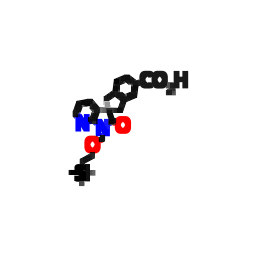 C[Si](C)(C)CCOCN1C(=O)[C@@]2(Cc3ccc(C(=O)O)cc3C2)c2cccnc21